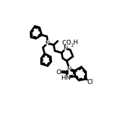 CC(CC1CC(n2c(=O)[nH]c3cc(Cl)ccc32)CCN1C(=O)O)N(Cc1ccccc1)Cc1ccccc1